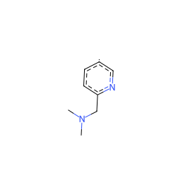 CN(C)Cc1cc[c]cn1